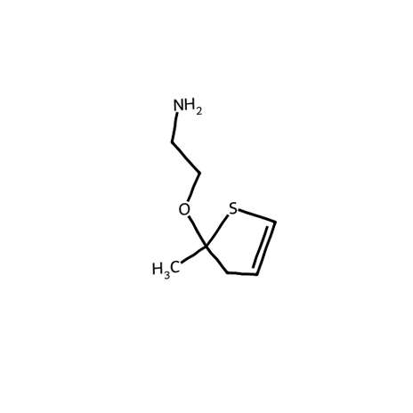 CC1(OCCN)CC=CS1